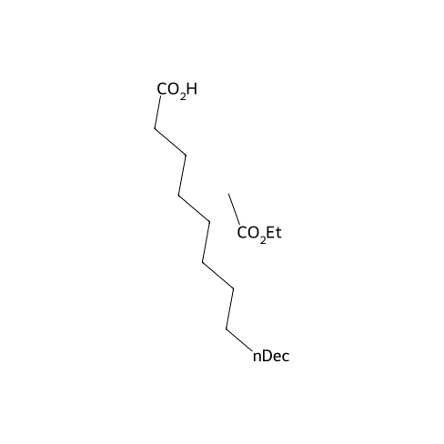 CCCCCCCCCCCCCCCCCC(=O)O.CCOC(C)=O